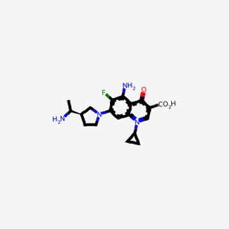 CC(N)[C@@H]1CCN(c2cc3c(c(N)c2F)c(=O)c(C(=O)O)cn3C2CC2)C1